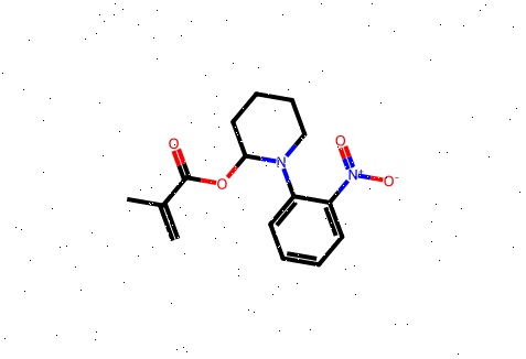 C=C(C)C(=O)OC1CCCCN1c1ccccc1[N+](=O)[O-]